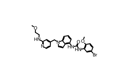 COCCNc1cc(Cn2ccc3c(NC(=O)Nc4cc(Br)ccc4OC)cccc32)ccn1